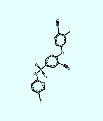 Cc1cc(Oc2ccc(S(=O)(=O)Nc3ccc(F)cn3)cc2C#N)ccc1C#N